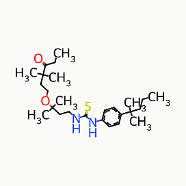 CCCC(C)(C)c1ccc(NC(=S)NCCC(C)(C)OCCC(C)(C)C(=O)CC)cc1